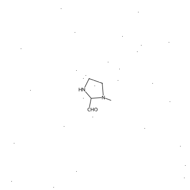 CN1CCNC1C=O